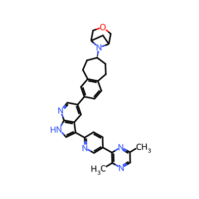 Cc1cnc(C)c(-c2ccc(-c3c[nH]c4ncc(-c5ccc6c(c5)CC[C@@H](N5C7COCC5C7)CC6)cc34)nc2)n1